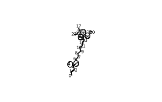 CC=CC(=O)OCCCCCCCC[Si](OCC)(OCC)OCC